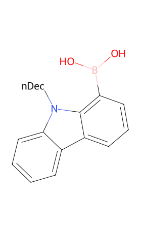 CCCCCCCCCCn1c2ccccc2c2cccc(B(O)O)c21